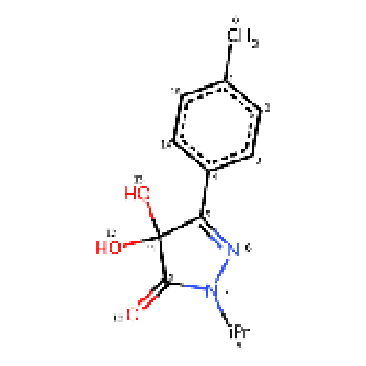 Cc1ccc(C2=NN(C(C)C)C(=O)C2(O)O)cc1